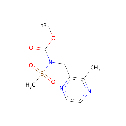 Cc1nccnc1CN(C(=O)OC(C)(C)C)S(C)(=O)=O